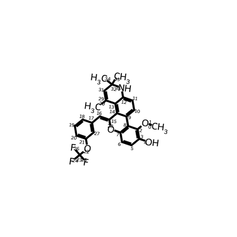 COc1c(O)ccc2c1-c1ccc3c(c1/C(=C/c1cccc(OC(F)(F)F)c1)O2)C(C)=CC(C)(C)N3